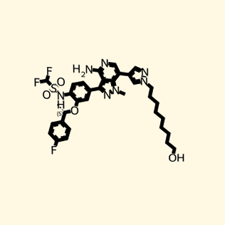 C[C@H](Oc1cc(-c2nn(C)c3c(-c4cnn(CCCCCCCCCO)c4)cnc(N)c23)ccc1NS(=O)(=O)C(F)F)c1ccc(F)cc1